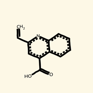 C=Cc1cc(C(=O)O)c2ccccc2n1